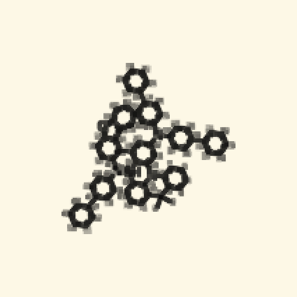 CC1(C)c2ccccc2N2c3cc(N(c4ccc(-c5ccccc5)cc4)c4ccc(-c5ccccc5)cc4)cc(-c4c(Nc5ccc(-c6ccccc6)cc5)ccc5oc6ccccc6c45)c3Bc3cccc1c32